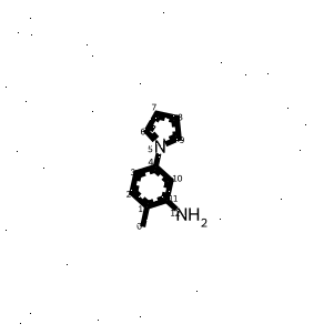 Cc1ccc(-n2cccc2)cc1N